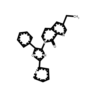 CCc1cnc2c(=O)n(-c3nc(-c4ccccc4)oc3-c3ccccc3)ccc2c1